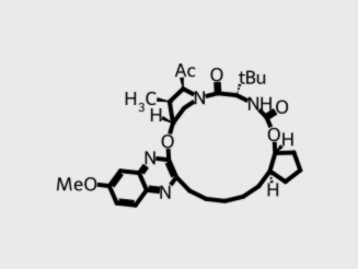 COc1ccc2nc3c(nc2c1)O[C@H]1CN(C(=O)[C@H](C(C)(C)C)NC(=O)O[C@@H]2CCC[C@H]2CCCCC3)[C@H](C(C)=O)[C@@H]1C